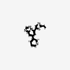 CCc1ncc(-c2cc(-c3cccnc3)cc3ncnn23)s1